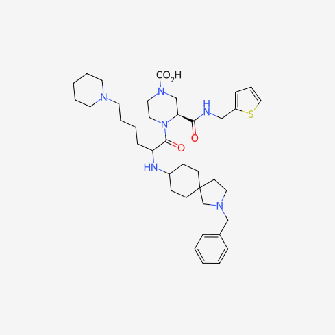 O=C(NCc1cccs1)[C@@H]1CN(C(=O)O)CCN1C(=O)C(CCCCN1CCCCC1)NC1CCC2(CC1)CCN(Cc1ccccc1)C2